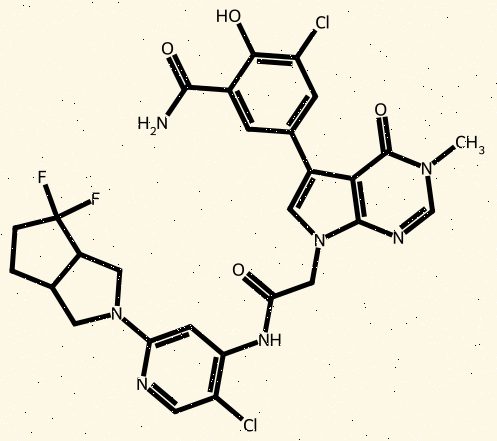 Cn1cnc2c(c(-c3cc(Cl)c(O)c(C(N)=O)c3)cn2CC(=O)Nc2cc(N3CC4CCC(F)(F)C4C3)ncc2Cl)c1=O